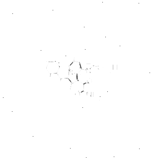 Cc1c(C(=O)C(N)=O)c2c(NCC(=O)O)cccn2c1CC1CCCCC1